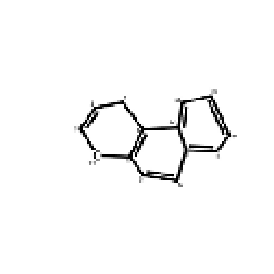 [C]1=CCc2c(ccc3ccccc23)O1